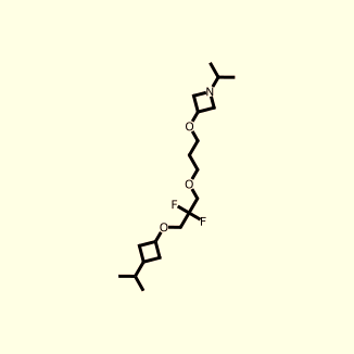 CC(C)C1CC(OCC(F)(F)COCCCOC2CN(C(C)C)C2)C1